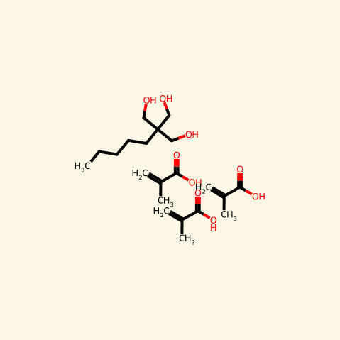 C=C(C)C(=O)O.C=C(C)C(=O)O.C=C(C)C(=O)O.CCCCCC(CO)(CO)CO